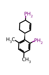 Cc1cc(C)c([C@@H]2C=CC(P)CC2)c(P)c1